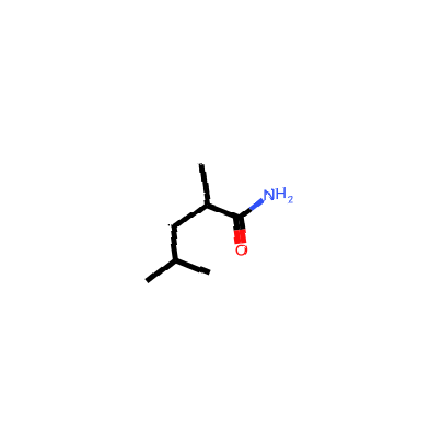 CC(C)[CH]C(C)C(N)=O